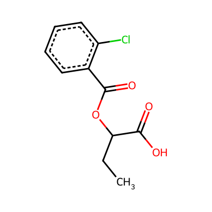 CCC(OC(=O)c1ccccc1Cl)C(=O)O